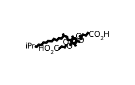 Cc1c(C)c(OC(=O)CCCC(=O)O)c(CCC(C)CCCCCCCCCCCC(C)C)c(C)c1OC(=O)CCCC(=O)O